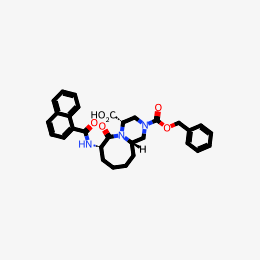 O=C(N[C@H]1CCCC[C@H]2CN(C(=O)OCc3ccccc3)C[C@@H](C(=O)O)N2C1=O)c1cccc2ccccc12